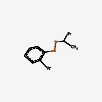 CC(C)c1ccccc1SSC(C)C(C)C